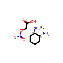 N[C@@H]1CCCC[C@H]1N.O=C(O)CO[N+](=O)[O-].[Pt]